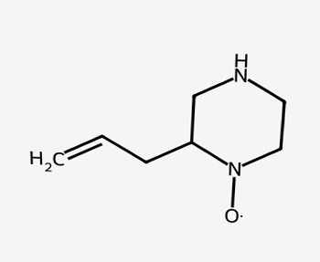 C=CCC1CNCCN1[O]